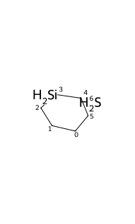 C1CC[SiH2]CC1.S